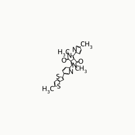 Cc1ccc(C2=C3C(=O)N(C)C(c4ccc(-c5cc6sc(C)cc6s5)cn4)=C3C(=O)N2C)nc1